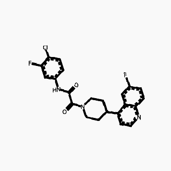 O=C(Nc1ccc(Cl)c(F)c1)C(=O)N1CCC(c2ccnc3ccc(F)cc23)CC1